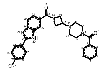 O=C(c1ccccc1)N1CCN(C2CN(C(=O)c3ccc4nc(-c5ccc(Cl)cc5)[nH]c4c3)C2)CC1